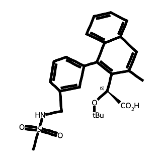 Cc1cc2ccccc2c(-c2cccc(CNS(C)(=O)=O)c2)c1[C@H](OC(C)(C)C)C(=O)O